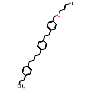 C=CCc1ccc(CCCCc2ccc(CCc3ccc(COCC=CCC)cc3)cc2)cc1